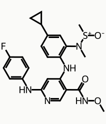 CONC(=O)c1cnc(Nc2ccc(F)cc2)cc1Nc1ccc(C2CC2)cc1N(C)[S+](C)[O-]